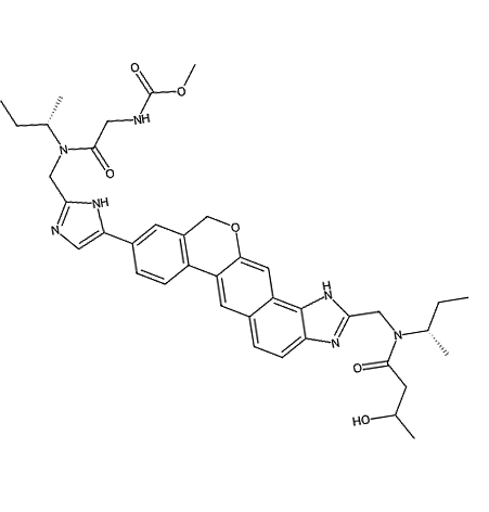 CC[C@H](C)N(Cc1ncc(-c2ccc3c(c2)COc2cc4c(ccc5nc(CN(C(=O)CC(C)O)[C@@H](C)CC)[nH]c54)cc2-3)[nH]1)C(=O)CNC(=O)OC